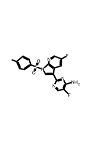 Cc1ccc(S(=O)(=O)n2cc(-c3ncc(F)c(N)n3)c3cc(F)cnc32)cc1